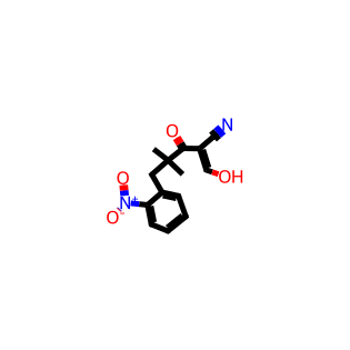 CC(C)(Cc1ccccc1[N+](=O)[O-])C(=O)C(C#N)=CO